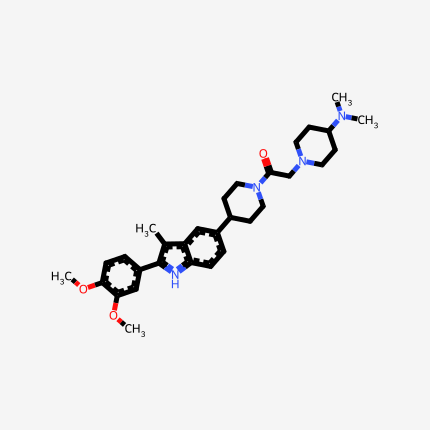 COc1ccc(-c2[nH]c3ccc(C4CCN(C(=O)CN5CCC(N(C)C)CC5)CC4)cc3c2C)cc1OC